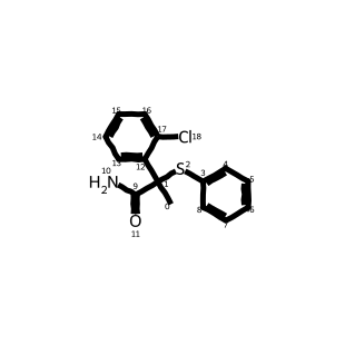 CC(Sc1cc[c]cc1)(C(N)=O)c1ccccc1Cl